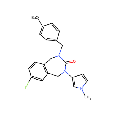 CC(C)COc1ccc(CN2Cc3ccc(F)cc3CN(c3ccn(C)c3)C2=O)cc1